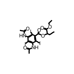 CCOC(=O)C(CC)OC(=O)c1c(I)c(NC(C)=O)c(I)c(NC(C)=O)c1I